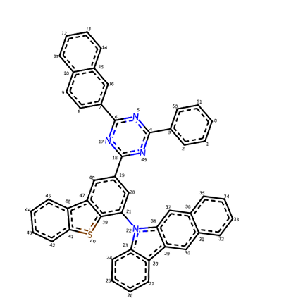 c1ccc(-c2nc(-c3ccc4ccccc4c3)nc(-c3cc(-n4c5ccccc5c5cc6ccccc6cc54)c4sc5ccccc5c4c3)n2)cc1